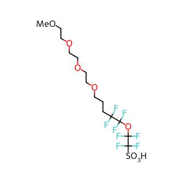 COCCOCCOCCOCCCC(F)(F)C(F)(F)OC(F)(F)C(F)(F)S(=O)(=O)O